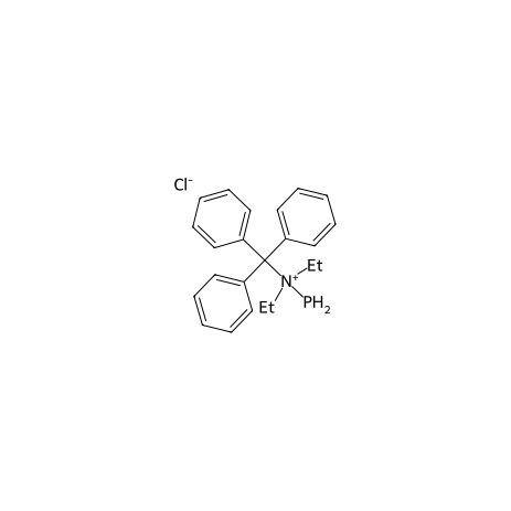 CC[N+](P)(CC)C(c1ccccc1)(c1ccccc1)c1ccccc1.[Cl-]